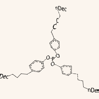 CCCCCCCCCCCCCCc1ccc(OP(Oc2ccc(CCCCCCCCCCCCCC)cc2)Oc2ccc(CCCCCCCCCCCCCC)cc2)cc1